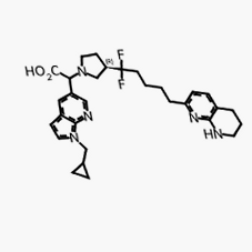 O=C(O)C(c1cnc2c(ccn2CC2CC2)c1)N1CC[C@@H](C(F)(F)CCCCc2ccc3c(n2)NCCC3)C1